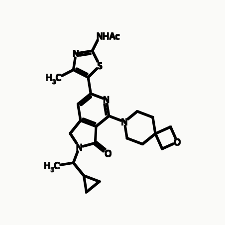 CC(=O)Nc1nc(C)c(-c2cc3c(c(N4CCC5(CC4)COC5)n2)C(=O)N(C(C)C2CC2)C3)s1